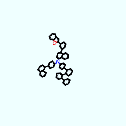 c1ccc(-c2ccccc2-c2ccccc2-c2ccc(N(c3ccc(-c4cccc5ccccc45)cc3)c3ccc(-c4cccc(-c5cc6ccccc6o5)c4)c4ccccc34)cc2)cc1